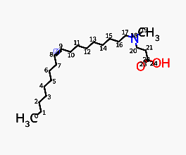 CCCCCCCC/C=C\CCCCCCCCN(C)CCC(=O)O